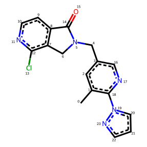 Cc1cc(CN2Cc3c(ccnc3Cl)C2=O)cnc1-n1cccn1